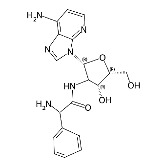 Nc1ccnc2c1ncn2[C@@H]1O[C@H](CO)[C@H](O)C1NC(=O)C(N)c1ccccc1